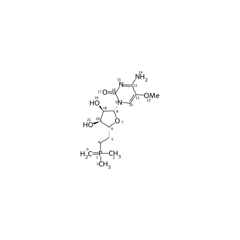 C=P(C)(C)CC[C@H]1O[C@@H](n2cc(OC)c(N)nc2=O)[C@H](O)[C@@H]1O